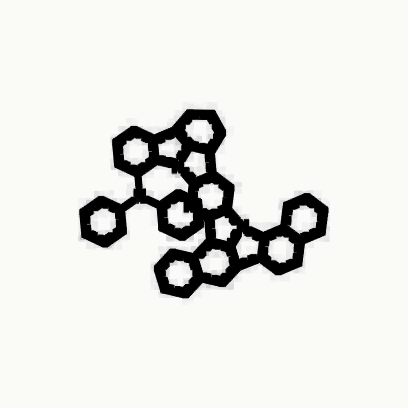 c1ccc(N(c2ccccc2)c2cccc3c4cccc5c6cc7c(nc6n(c23)c54)c2c3ccccc3cc3c4ccc5ccccc5c4n7c32)cc1